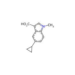 Cn1cc(C(=O)O)c2cc(C3CC3)ccc21